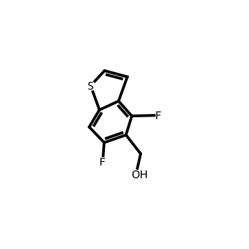 OCc1c(F)cc2sccc2c1F